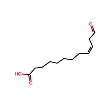 O=CC/C=C\CCCCCCCC(=O)O